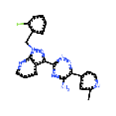 Cc1cc(-c2nnc(-c3nn(Cc4ccccc4F)c4ncccc34)nc2N)ccn1